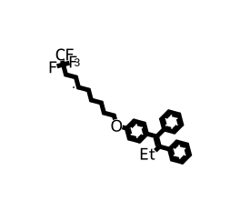 CC/C(=C(/c1ccccc1)c1ccc(OCCCCC[CH]CCC(F)(F)C(F)(F)F)cc1)c1ccccc1